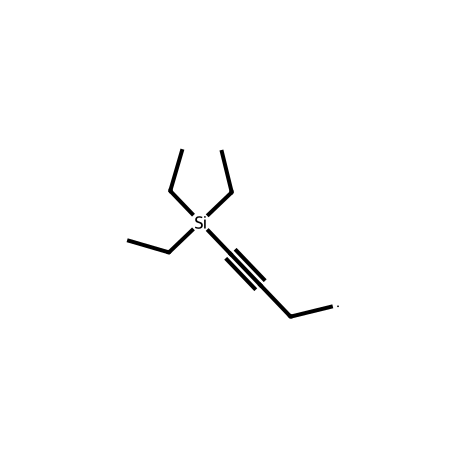 [CH2]CC#C[Si](CC)(CC)CC